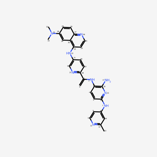 C=C(Nc1ccc(Nc2ccnc(C)c2)nc1N)c1ccc(Nc2ccnc3ccc(N(C)C)cc23)cn1